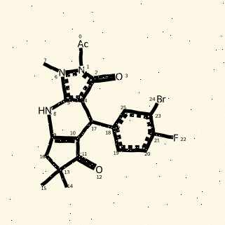 CC(=O)n1c(=O)c2c(n1C)NC1=C(C(=O)C(C)(C)C1)C2c1ccc(F)c(Br)c1